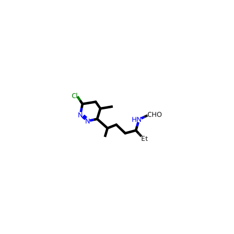 CCC(CCC(C)C1N=NC(Cl)CC1C)NC=O